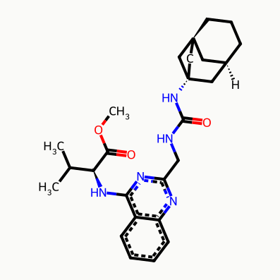 COC(=O)[C@@H](Nc1nc(CNC(=O)N[C@]23C[C@@H]4CCC[C@](C4)(C2)C3)nc2ccccc12)C(C)C